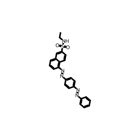 CCNS(=O)(=O)c1ccc2c(/N=N/c3ccc(/N=N/c4ccccc4)cc3)cccc2c1